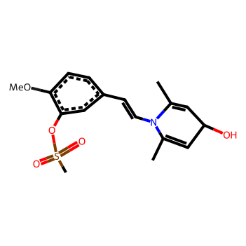 COc1ccc(/C=C/N2C(C)=CC(O)C=C2C)cc1OS(C)(=O)=O